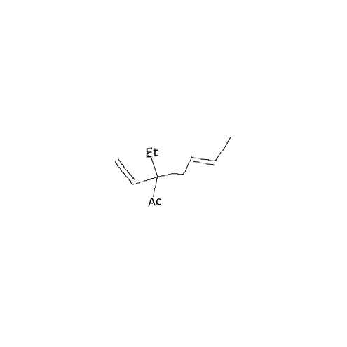 C=CC(CC)(C/C=C/C)C(C)=O